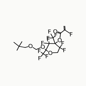 C=C(F)C(=O)OC1(C(F)(F)F)C(F)(F)COC(OCOCC(C)(C)C)(C(F)(F)F)C1(F)F